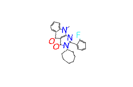 Cn1c2ccccc2c(=O)c2c(=O)n(C3CCCCCC3)c(-c3ccccc3F)nc21